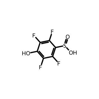 O=S(O)c1c(F)c(F)c(O)c(F)c1F